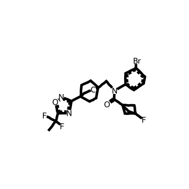 CC(F)(F)c1nc(C23CCC(CN(C(=O)C45CC(F)(C4)C5)c4cccc(Br)c4)(CC2)CC3)no1